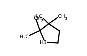 CC1(C)B[CH]CC1(C)C